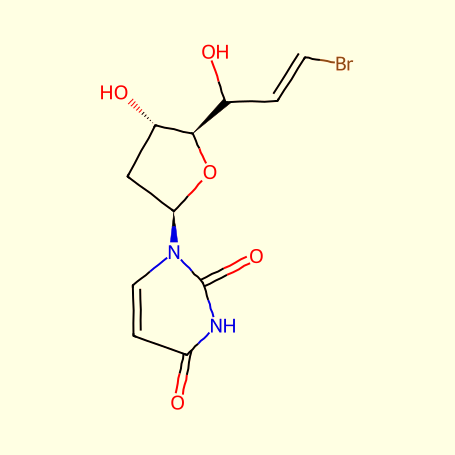 O=c1ccn([C@H]2C[C@H](O)[C@@H](C(O)C=CBr)O2)c(=O)[nH]1